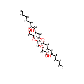 CCCCCCCCCCOCCCCCCCCCC.OCCOCCOCCO